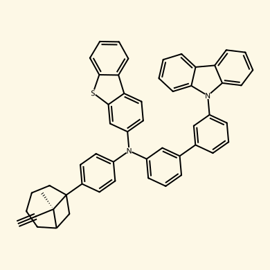 C#C[C@]1(C)C2CCCCC1(c1ccc(N(c3cccc(-c4cccc(-n5c6ccccc6c6ccccc65)c4)c3)c3ccc4c(c3)sc3ccccc34)cc1)C2